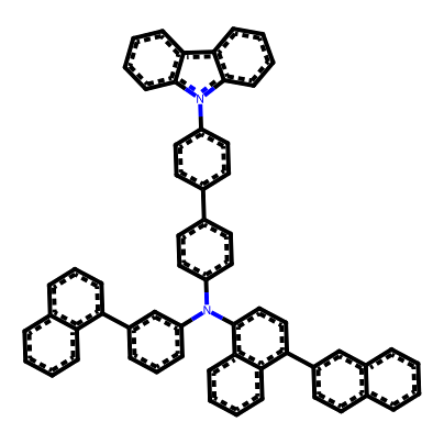 c1cc(-c2cccc3ccccc23)cc(N(c2ccc(-c3ccc(-n4c5ccccc5c5ccccc54)cc3)cc2)c2ccc(-c3ccc4ccccc4c3)c3ccccc23)c1